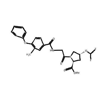 COC(=O)[C@@H]1C[C@@H](OC(F)F)CN1C(=O)CNC(=O)c1ccc(Oc2ccccc2)c(C)c1